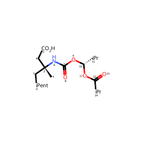 CCCC(C)C[C@](C)(CC(=O)O)NC(=O)O[C@@H](OC(=O)C(C)C)C(C)C